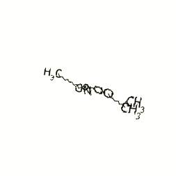 CCCCCCCCCOc1ccc(-c2ccc(OCCCCCC(C)CC)cc2)nc1